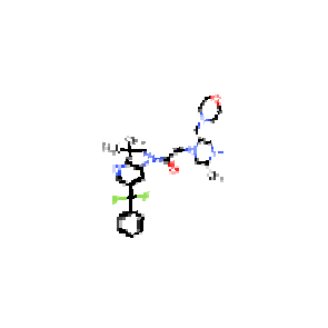 C[C@@H]1CN(CC(=O)N2CC(C)(C)c3ncc(C(F)(F)c4ccccc4)cc32)[C@@H](CN2CCOCC2)CN1